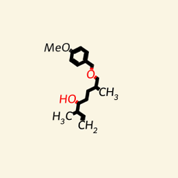 C=CC(C)C(O)CCC(C)COCc1ccc(OC)cc1